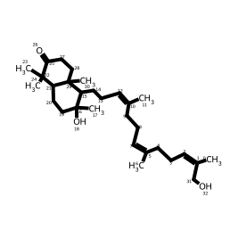 CC(=CCCC(C)=CCCC(C)=CCCC1C(C)(O)CCC2C(C)(C)C(=O)CCC12C)CO